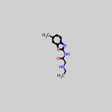 CCNCC(=O)Nc1nc2ccc(C)cc2s1